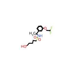 C[C@@H](NS(=O)(=O)CCCCCO)c1cccc(OCC(F)F)c1